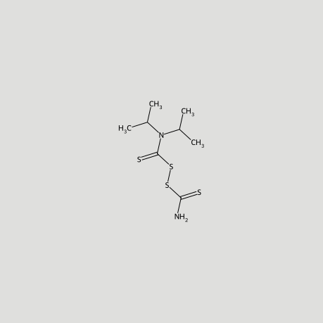 CC(C)N(C(=S)SSC(N)=S)C(C)C